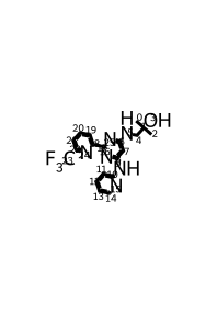 CC(C)(O)CNc1cc(Nc2ccccn2)nc(-c2cccc(C(F)(F)F)n2)n1